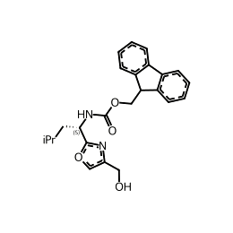 CC(C)C[C@H](NC(=O)OCC1c2ccccc2-c2ccccc21)c1nc(CO)co1